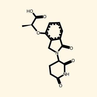 C[C@H](Oc1cccc2c1CN(C1CCC(=O)NC1=O)C2=O)C(=O)O